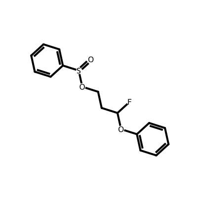 O=S(OCCC(F)Oc1ccccc1)c1ccccc1